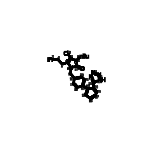 CCCCn1c(Cl)c(CCC(C)C)n(Cc2ccc(-c3ccccc3-c3nnn[nH]3)cc2)c1=O